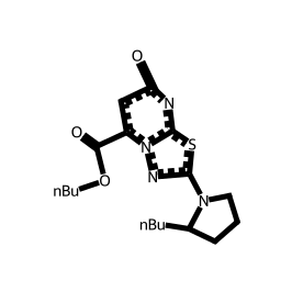 CCCCOC(=O)c1cc(=O)nc2sc(N3CCCC3CCCC)nn12